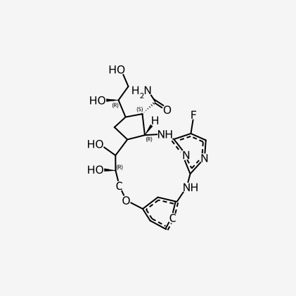 NC(=O)[C@H]1C([C@@H](O)CO)CC2C(O)[C@H](O)COc3cccc(c3)Nc3ncc(F)c(n3)N[C@H]21